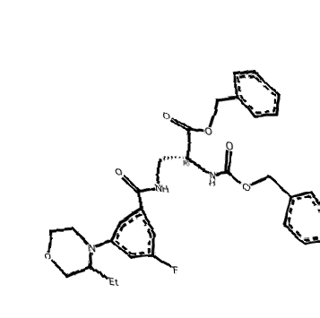 CCC1COCCN1c1cc(F)cc(C(=O)NC[C@@H](NC(=O)OCc2ccccc2)C(=O)OCc2ccccc2)c1